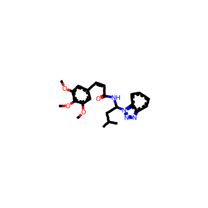 COc1cc(/C=C\C(=O)NC(CC(C)C)n2nnc3ccccc32)cc(OC)c1OC